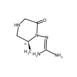 C[C@H]1CNCC(=O)N1N=C(N)N